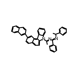 C/C(=N\C(=N/C(C)c1ccccc1)c1ccccc1)n1c2ccccc2c2c3cc(-c4ccc5ccccc5c4)ccc3ccc21